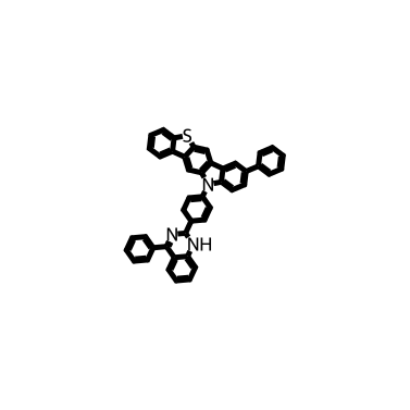 C1=CC(C2N=C(c3ccccc3)c3ccccc3N2)CC=C1n1c2ccc(-c3ccccc3)cc2c2cc3sc4ccccc4c3cc21